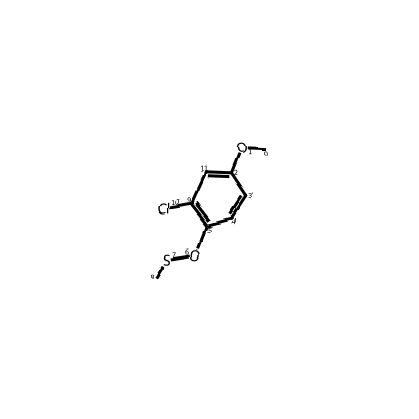 COc1ccc(OSC)c(Cl)c1